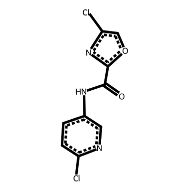 O=C(Nc1ccc(Cl)nc1)c1nc(Cl)co1